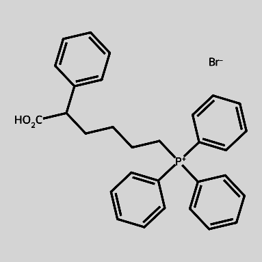 O=C(O)C(CCCC[P+](c1ccccc1)(c1ccccc1)c1ccccc1)c1ccccc1.[Br-]